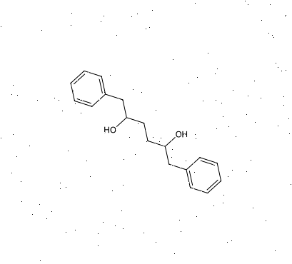 OC(CCC(O)Cc1ccccc1)Cc1ccccc1